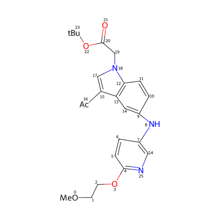 COCCOc1ccc(Nc2ccc3c(c2)c(C(C)=O)cn3CC(=O)OC(C)(C)C)cn1